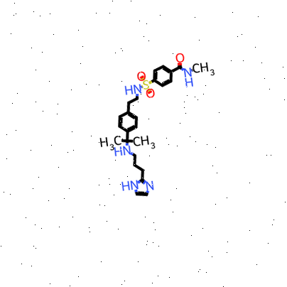 CNC(=O)c1ccc(S(=O)(=O)NCCc2ccc(C(C)(C)NCCCc3ncc[nH]3)cc2)cc1